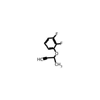 C#CC(C)Oc1cccc(F)c1F